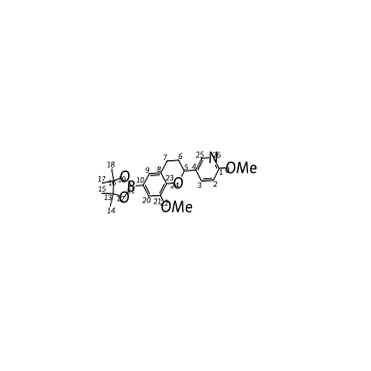 COc1ccc(C2CCc3cc(B4OC(C)(C)C(C)(C)O4)cc(OC)c3O2)cn1